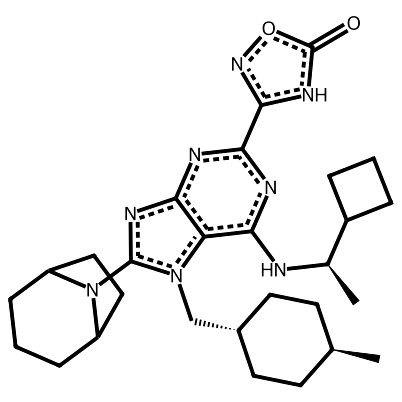 C[C@@H](Nc1nc(-c2noc(=O)[nH]2)nc2nc(N3C4CCCC3CC4)n(C[C@H]3CC[C@H](C)CC3)c12)C1CCC1